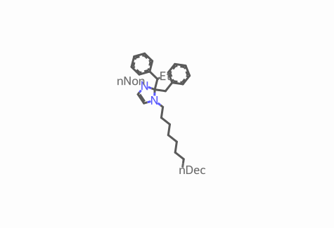 CCCCCCCCCCCCCCCCCN1C=CN(CCCCCCCCC)C1(Cc1ccccc1)C(CC)c1ccccc1